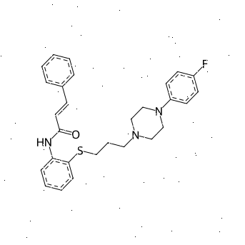 O=C(C=Cc1ccccc1)Nc1ccccc1SCCCN1CCN(c2ccc(F)cc2)CC1